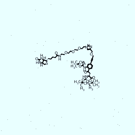 CC(C)(C)OC(=O)Nc1cc(C#CCOCc2cn(CCOCCOCCOCCNC(=O)CCCC[C@@H]3SC[C@@H]4NC(=O)N[C@@H]43)nn2)ccc1C(=O)C[C@H](NC(=O)OC(C)(C)C)C(=O)OC(C)(C)C